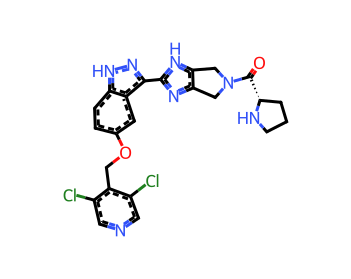 O=C([C@@H]1CCCN1)N1Cc2nc(-c3n[nH]c4ccc(OCc5c(Cl)cncc5Cl)cc34)[nH]c2C1